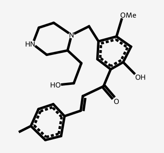 COc1cc(O)c(C(=O)/C=C/c2ccc(C)cc2)cc1CN1CCNCC1CCO